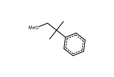 COCC(C)(C)c1ccccc1